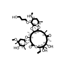 CC[C@H]1OC(=O)[C@H](C)[C@@H](O[C@H]2C[C@@](C)(OC)[C@@H](O)[C@H](C)O2)[C@H](C)[C@@H](O[C@@H]2O[C@H](C)C[C@H](NC)[C@H]2OCCCO)[C@@](C)(OC)C[C@@H](C)C(=O)[C@H](C)[C@@H](O)[C@]1(C)O